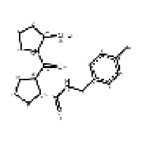 Cc1ccc(CNC(=O)[C@@H]2CCCC2C(=O)N2CCC[C@H]2C=O)cc1